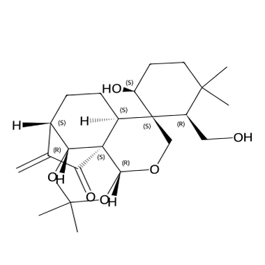 C=C1C(=O)[C@@]23[C@@H]4OC[C@@]5([C@H](CO)C(C)(C)CC[C@@H]5O)[C@@H]2CC[C@@H]1[C@H]3OC(C)(C)O4